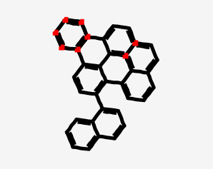 c1ccc(-c2ccccc2-c2c(-c3ccccc3)ccc(-c3cccc4ccccc34)c2-c2cccc3ccccc23)cc1